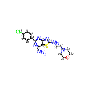 Nc1nc(-c2ccc(Cl)cc2)nc2nc(NCCN3CCOCC3)sc12